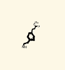 CC(C)(C)OC(=O)CCc1ccc(CC[NH])cc1